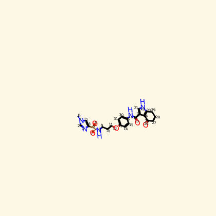 Cn1cnc(S(=O)(=O)NCCCOc2ccc(NC(=O)c3c[nH]c4c3C(=O)CCC4)cc2)c1